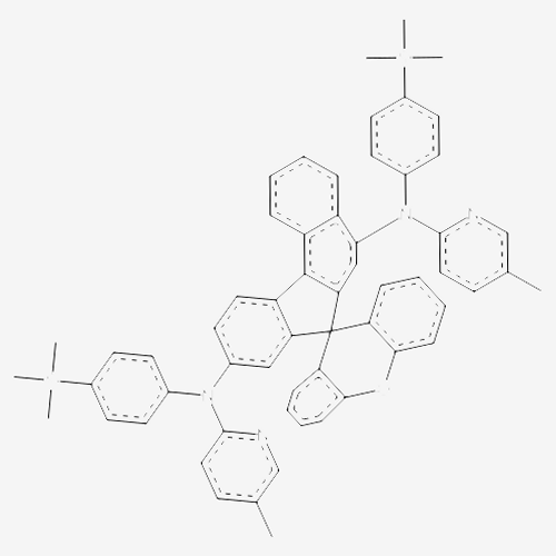 Cc1ccc(N(c2ccc([Si](C)(C)C)cc2)c2ccc3c(c2)C2(c4ccccc4Oc4ccccc42)c2cc(N(c4ccc([Si](C)(C)C)cc4)c4ccc(C)cn4)c4ccccc4c2-3)nc1